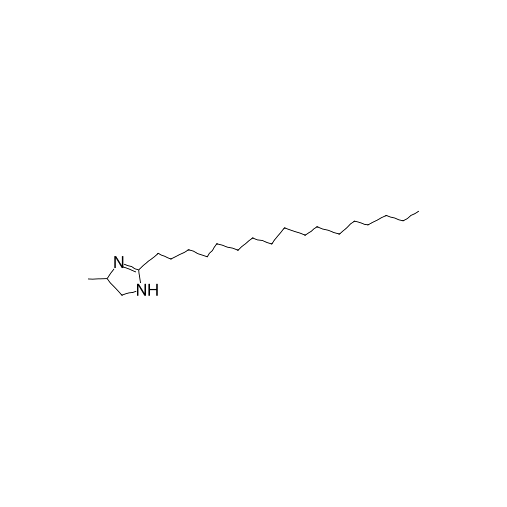 CCCCCCCCCCCCCCCCCC1=NC(C)CN1